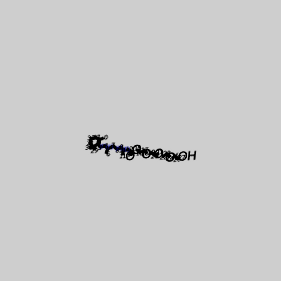 CC1=C(/C=C/C(C)=C/C=C/C(C)=C/C(=O)OCCOCCOCCOCCO)C(C)(C)CCC1